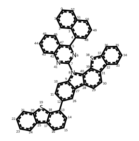 c1ccc2c(-c3nc(-n4c5ccc(-c6cccc7c6sc6ccccc67)cc5c5ccc6c7ccccc7sc6c54)nc4ccccc34)cccc2c1